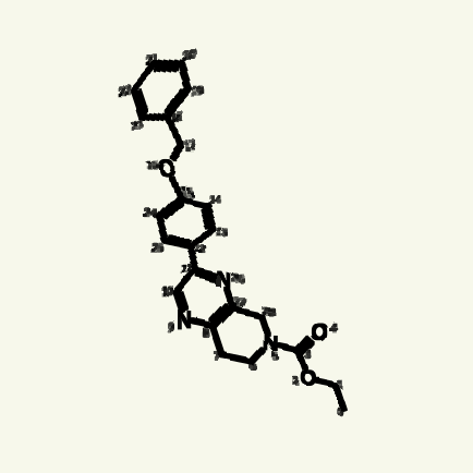 CCOC(=O)N1CCc2ncc(-c3ccc(OCc4ccccc4)cc3)nc2C1